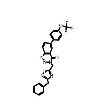 O=c1c2cc(-c3ccc(OC(F)(F)F)cc3)ccc2nnn1Cc1nc(Cc2ccccc2)no1